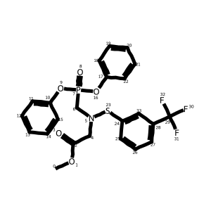 COC(=O)CN(CP(=O)(Oc1ccccc1)Oc1ccccc1)Sc1cccc(C(F)(F)F)c1